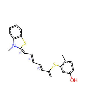 C=C(/C=C/C=C/C=C1\Sc2ccccc2N1C)Sc1cc(O)ccc1C